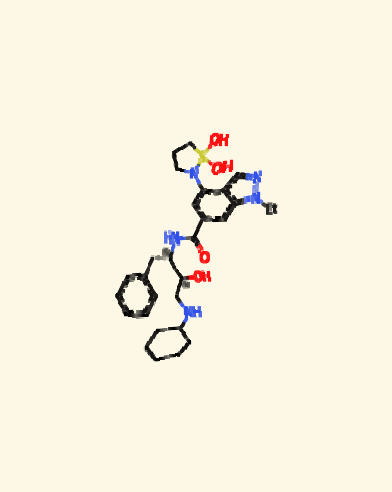 CCn1ncc2c(N3CCCS3(O)O)cc(C(=O)N[C@@H](Cc3ccccc3)[C@@H](O)CNC3CCCCC3)cc21